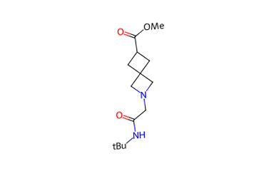 COC(=O)C1CC2(C1)CN(CC(=O)NC(C)(C)C)C2